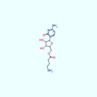 NCCCC(=O)OCC1OC(n2ccc(N)nc2=O)C(O)C1O